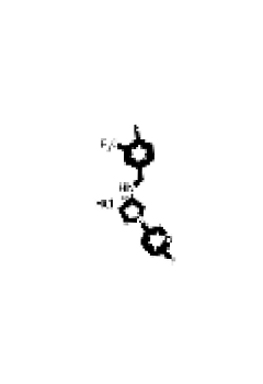 Cl.Fc1ccc(N2CC[C@H](NCc3ccc(F)c(C(F)(F)F)c3)C2)cn1